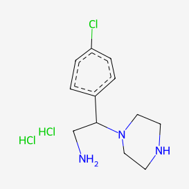 Cl.Cl.NCC(c1ccc(Cl)cc1)N1CCNCC1